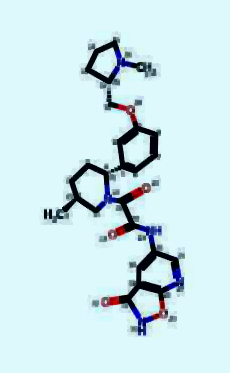 C[C@H]1CC[C@H](c2cccc(OC[C@@H]3CCCN3C)c2)N(C(=O)C(=O)Nc2cnc3o[nH]c(=O)c3c2)C1